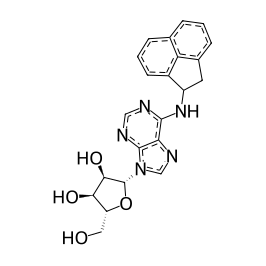 OC[C@H]1O[C@@H](n2cnc3c(NC4Cc5cccc6cccc4c56)ncnc32)[C@H](O)[C@@H]1O